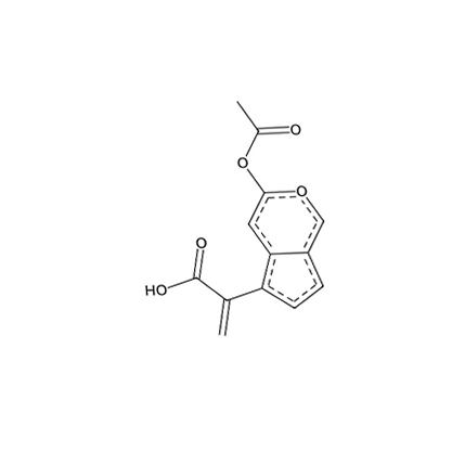 C=C(C(=O)O)c1ccc2coc(OC(C)=O)cc1-2